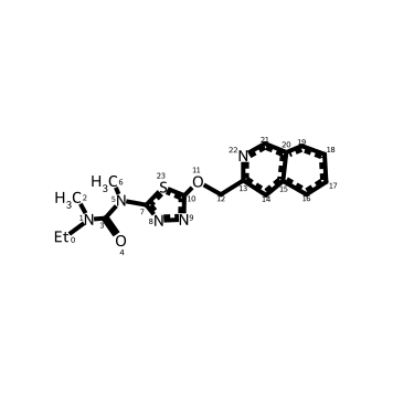 CCN(C)C(=O)N(C)c1nnc(OCc2cc3ccccc3cn2)s1